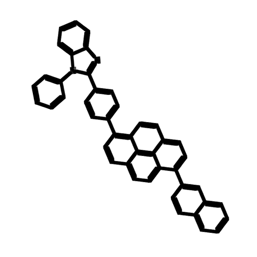 c1ccc(-n2c(-c3ccc(-c4ccc5ccc6c(-c7ccc8ccccc8c7)ccc7ccc4c5c76)cc3)nc3ccccc32)cc1